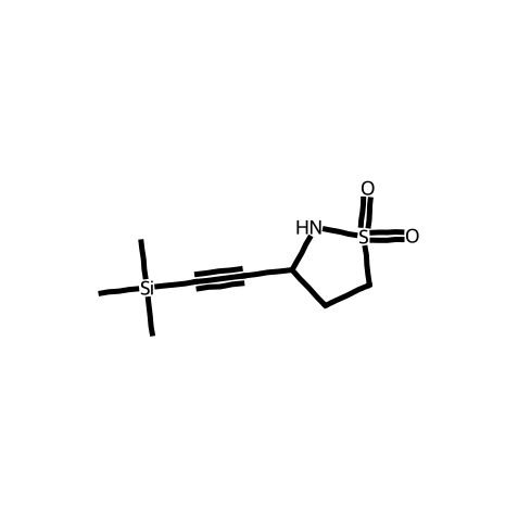 C[Si](C)(C)C#CC1CCS(=O)(=O)N1